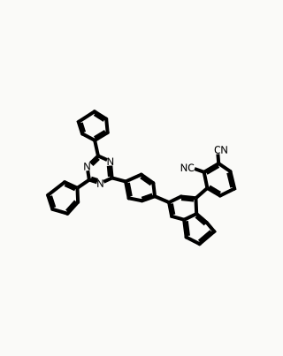 N#Cc1cccc(-c2cc(-c3ccc(-c4nc(-c5ccccc5)nc(-c5ccccc5)n4)cc3)cc3ccccc23)c1C#N